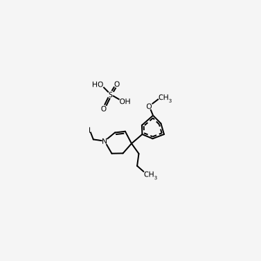 CCCC1(c2cccc(OC)c2)C=CN(CI)CC1.O=S(=O)(O)O